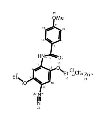 CCOc1cc(NC(=O)c2ccc(OC)cc2)c(OCC)cc1[N+]#N.[Cl-].[Cl-].[Zn+]